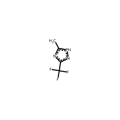 Cc1nc(C(F)(F)F)n[pH]1